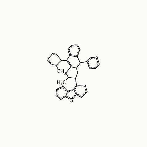 CC1C=CC=CC1C1=C2CC(C)C(c3cccc4sc5ccccc5c34)CC2C(c2ccccc2)c2ccccc21